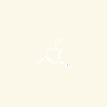 Nc1cc(S(=O)(=O)O)nc(N)n1